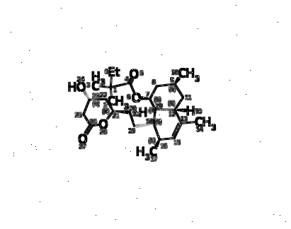 CCC(C)(C)C(=O)O[C@H]1C[C@@H](C)C[C@@H]2C(C)=C[C@@H](C)[C@H](CC[C@@H]3C[C@@H](O)CC(=O)O3)[C@@H]12